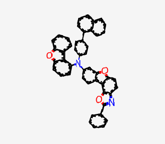 c1ccc(-c2nc3ccc4oc5cc(N(c6ccc(-c7cccc8ccccc78)cc6)c6cccc7oc8ccccc8c67)ccc5c4c3o2)cc1